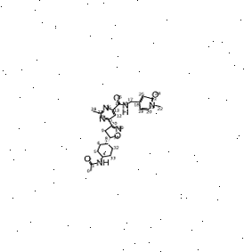 CC(=O)N[C@H]1CC[C@H](C2CC(c3cc(C(=O)NCc4ccn(C)c(=O)c4)nc(C)n3)=NO2)CC1